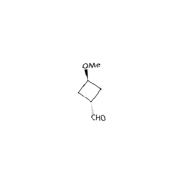 CO[C@H]1C[C@H](C=O)C1